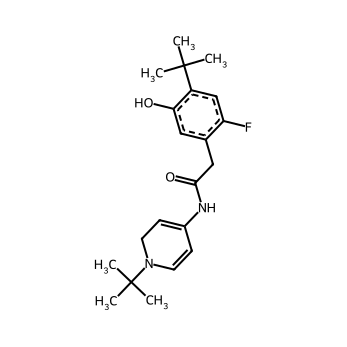 CC(C)(C)c1cc(F)c(CC(=O)NC2=CCN(C(C)(C)C)C=C2)cc1O